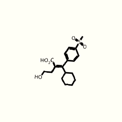 CS(=O)(=O)c1ccc(/C(=C(/CCO)C(=O)O)C2CCCCC2)cc1